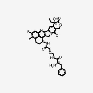 CC[C@@]1(O)C(=O)OCc2c1cc1n(c2=O)Cc2c-1nc1cc(F)c(C)c3c1c2[C@@H](NC(=O)COCNC(=O)[C@H](N)Cc1ccccc1)CC3